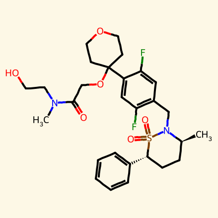 C[C@H]1CC[C@H](c2ccccc2)S(=O)(=O)N1Cc1cc(F)c(C2(OCC(=O)N(C)CCO)CCOCC2)cc1F